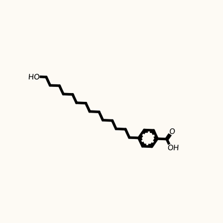 O=C(O)c1ccc(CCCCCCCCCCCCCCO)cc1